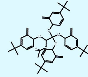 C=C1C=C(C(C)(C)C)C=CC1OC(OC(C)=O)C(OC1C=CC(C(C)(C)C)=CC1=C)(OC1C=CC(C(C)(C)C)=CC1=C)OC1C=CC(C(C)(C)C)=CC1=C